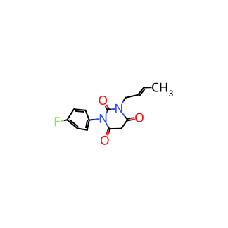 CC=CCN1C(=O)CC(=O)N(c2ccc(F)cc2)C1=O